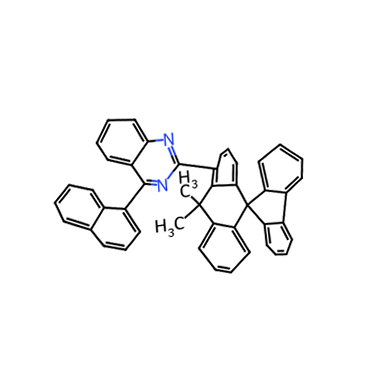 CC1(C)c2ccccc2C2(c3ccccc3-c3ccccc32)c2cccc(-c3nc(-c4cccc5ccccc45)c4ccccc4n3)c21